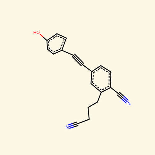 N#CCCCc1cc(C#Cc2ccc(O)cc2)ccc1C#N